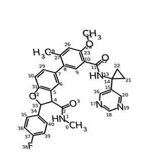 CNC(=O)C1c2cc(-c3cc(C(=O)NC4(c5cncnc5)CC4)c(OC)cc3C)ccc2OC1c1ccc(F)cc1